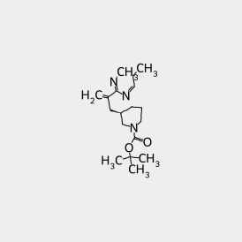 C=C(C[C@H]1CCCN(C(=O)OC(C)(C)C)C1)C(/N=C\CC)=N/C